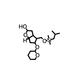 CC(C)C[Si](C)(C)OCC1C(OC2CCCCO2)C[C@@H]2OC(O)CC12